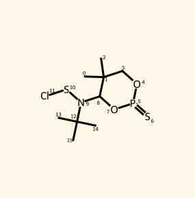 CC1(C)CO[P](=S)OC1N(SCl)C(C)(C)C